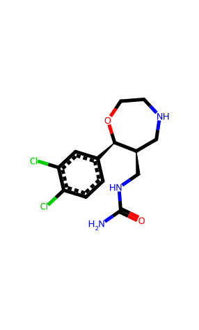 NC(=O)NC[C@@H]1CNCCO[C@@H]1c1ccc(Cl)c(Cl)c1